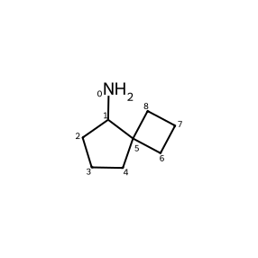 NC1CCCC12CCC2